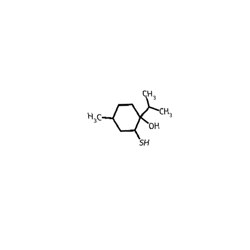 CC1CCC(O)(C(C)C)C(S)C1